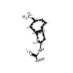 CNC(=O)Nc1cc2ccc(C)cc2s1